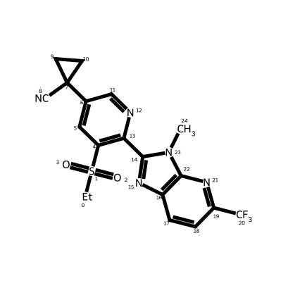 CCS(=O)(=O)c1cc(C2(C#N)CC2)cnc1-c1nc2ccc(C(F)(F)F)nc2n1C